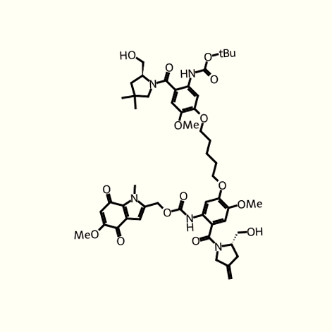 C=C1C[C@@H](CO)N(C(=O)c2cc(OC)c(OCCCCCOc3cc(NC(=O)OC(C)(C)C)c(C(=O)N4CC(C)(C)C[C@H]4CO)cc3OC)cc2NC(=O)OCc2cc3c(n2C)C(=O)C=C(OC)C3=O)C1